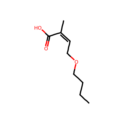 CCCCOCC=C(C)C(=O)O